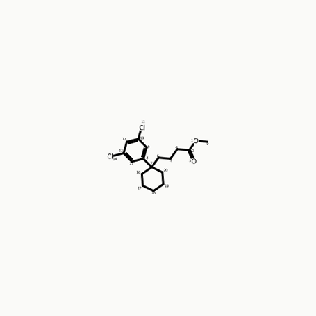 COC(=O)CCCC1(c2cc(Cl)cc(Cl)c2)CCCCC1